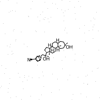 C[C@]1(O)CC[C@@H]2CC[C@@H]3[C@H](CC[C@@]4(C)[C@H]3CC[C@@H]4[C@](C)(O)Cn3ccc(C#N)c3)[C@@]2(C)CC1